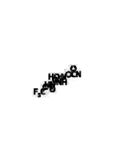 N#CC1(c2ccccc2)CCC(N2C[C@H](NC(=O)CNC(=O)c3cccc(C(F)(F)F)c3)[C@@H](O)C2)CC1